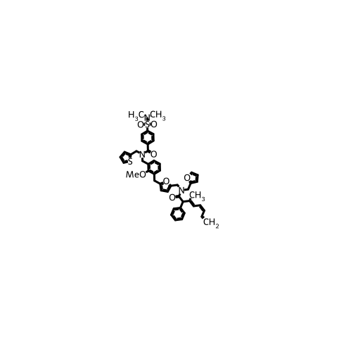 C=C/C=C\C=C(/C)C(C(=O)N(Cc1ccco1)Cc1ccc(Cc2cccc(CN(Cc3cccs3)C(=O)c3ccc(S(=O)(=O)N(C)C)cc3)c2OC)o1)c1ccccc1